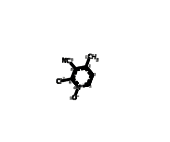 Cc1cc[n+]([O-])c(Cl)c1C#N